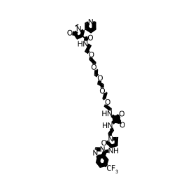 CN1C(=O)C[C@H](C(=O)NCCOCCOCCOCCOCCOCCNc2c(NCCN3CC[C@H](Nc4ncnc5ccc(C(F)(F)F)cc45)C3=O)c(=O)c2=O)[C@H]1c1cccnc1